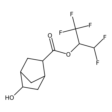 O=C(OC(C(F)F)C(F)(F)F)C1CC2CC1CC2O